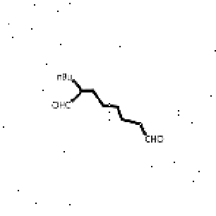 CCCCC(C=O)CCCCCC=O